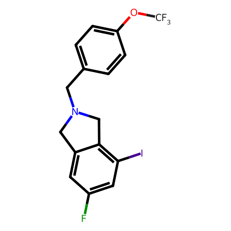 Fc1cc(I)c2c(c1)CN(Cc1ccc(OC(F)(F)F)cc1)C2